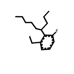 CCCCCC(CCC)c1c(F)cccc1CC